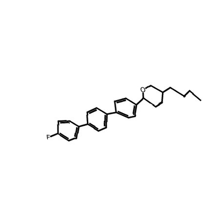 CCCCC1CCC(c2ccc(-c3ccc(-c4ccc(F)cc4)cc3)cc2)OC1